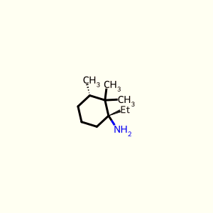 CC[C@@]1(N)CCC[C@H](C)C1(C)C